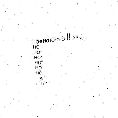 [Al+3].[La+3].[OH-].[OH-].[OH-].[OH-].[OH-].[OH-].[OH-].[OH-].[OH-].[OH-].[OH-].[OH-].[OH-].[PH6+3].[Ti+4]